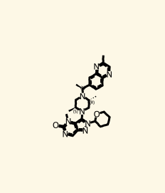 Cc1cnc2ccc([C@H](C)N3C[C@H](C)N(c4c5c(cnc(=O)n5C)nn4C4CCCCO4)C[C@H]3C)cc2n1